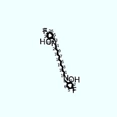 Oc1cc(F)ccc1C=NCCCCCCCCCCCCN=Cc1ccc(F)cc1O